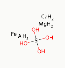 O[Si](O)(O)O.[AlH3].[CaH2].[Fe].[MgH2]